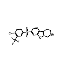 O=S(=O)(c1ccc(Cl)c(C(F)(F)F)c1)c1ccc2c3c(oc2c1)CNCC3